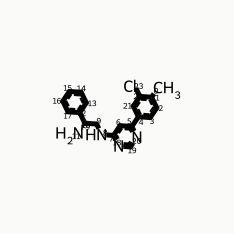 Cc1ccc(-c2cc(NC[C@@H](N)c3ccccc3)ncn2)cc1Cl